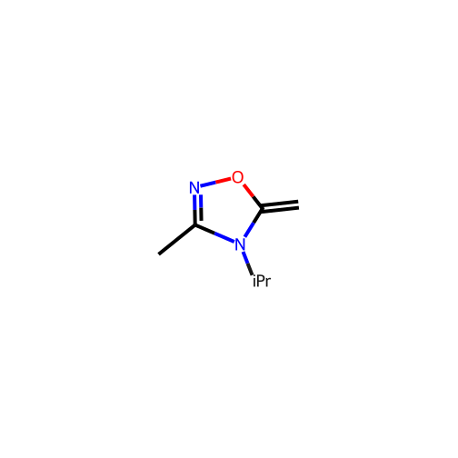 C=C1ON=C(C)N1C(C)C